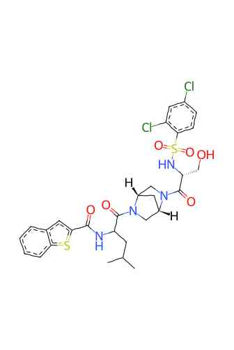 CC(C)CC(NC(=O)c1cc2ccccc2s1)C(=O)N1C[C@@H]2C[C@H]1CN2C(=O)[C@@H](CO)NS(=O)(=O)c1ccc(Cl)cc1Cl